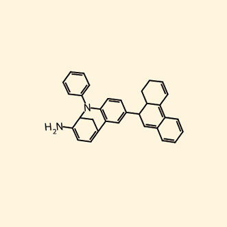 NC1=CC=C2CC1N(c1ccccc1)c1ccc(C3C=c4ccccc4=C4C=CCCC43)cc12